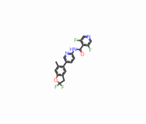 Cc1cc2c(cc1-c1ccc(NC(=O)c3c(F)cncc3F)nc1)CC(F)(F)O2